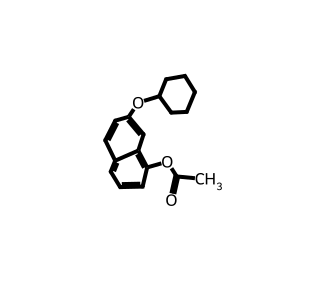 CC(=O)Oc1cccc2ccc(OC3CCCCC3)cc12